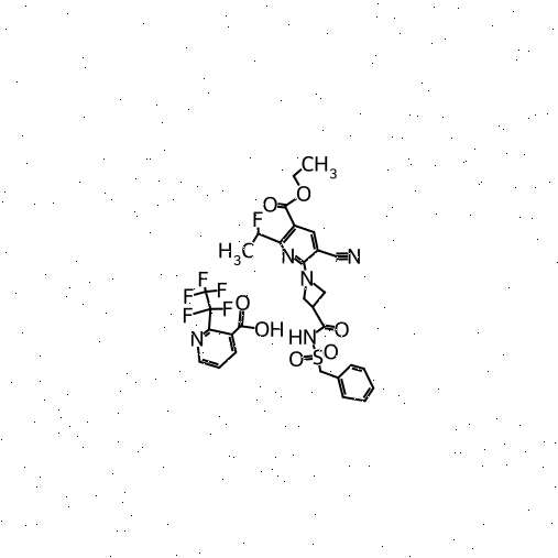 CCOC(=O)c1cc(C#N)c(N2CC(C(=O)NS(=O)(=O)Cc3ccccc3)C2)nc1C(C)F.O=C(O)c1cccnc1C(F)(F)C(F)(F)F